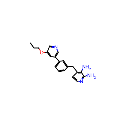 CCCOc1cncc(-c2cccc(Cc3ccnc(N)c3N)c2)c1